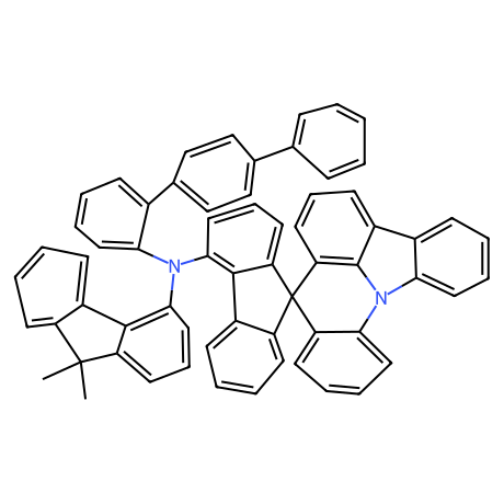 CC1(C)c2ccccc2-c2c(N(c3ccccc3-c3ccc(-c4ccccc4)cc3)c3cccc4c3-c3ccccc3C43c4ccccc4-n4c5ccccc5c5cccc3c54)cccc21